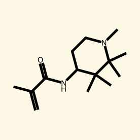 C=C(C)C(=O)NC1CCN(C)C(C)(C)C1(C)C